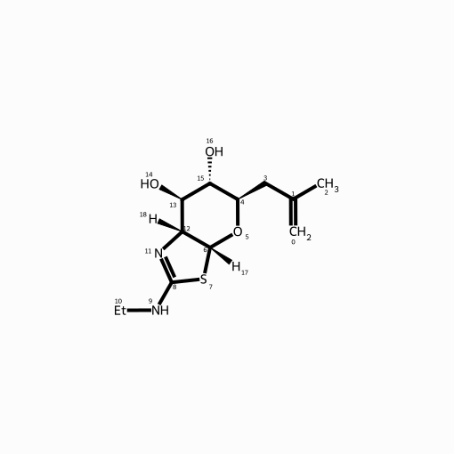 C=C(C)C[C@H]1O[C@@H]2SC(NCC)=N[C@@H]2[C@@H](O)[C@@H]1O